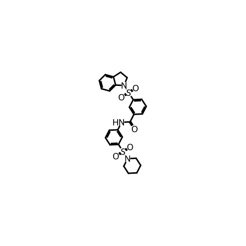 O=C(Nc1cccc(S(=O)(=O)N2CCCCC2)c1)c1cccc(S(=O)(=O)N2CCc3ccccc32)c1